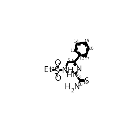 CCS(=O)(=O)NCC(=NNC(N)=S)c1ccccc1